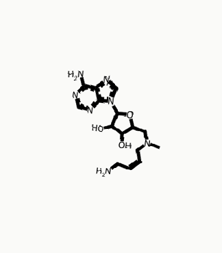 CN(C/C=C\CN)CC1OC(n2cnc3c(N)ncnc32)C(O)C1O